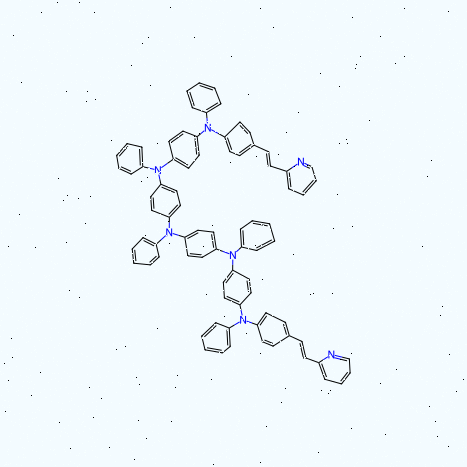 C(=C\c1ccccn1)/c1ccc(N(c2ccccc2)c2ccc(N(c3ccccc3)c3ccc(N(c4ccccc4)c4ccc(N(c5ccccc5)c5ccc(N(c6ccccc6)c6ccc(/C=C/c7ccccn7)cc6)cc5)cc4)cc3)cc2)cc1